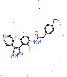 O=C(Cc1ccc(C(F)(F)F)cc1)Nc1ccc(F)c(-c2n[nH]cc2-c2ccncc2)c1F